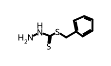 NNC(=S)SCc1ccccc1